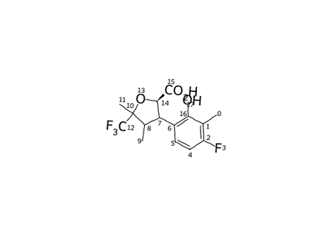 Cc1c(F)ccc(C2C(C)C(C)(C(F)(F)F)O[C@H]2C(=O)O)c1O